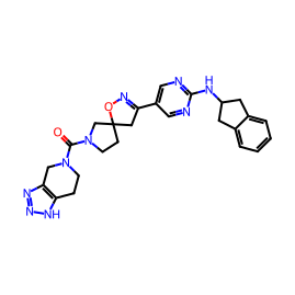 O=C(N1CCc2[nH]nnc2C1)N1CCC2(CC(c3cnc(NC4Cc5ccccc5C4)nc3)=NO2)C1